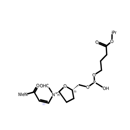 CNC(=O)/C=C\N(C=O)[C@H]1CC[C@@H](COP(O)OCCCC(=O)OC(C)C)O1